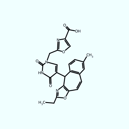 CCc1nc2c(o1)C=Cc1cc(C)ccc1C2c1cn(Cc2nc(C(=O)O)co2)c(=O)[nH]c1=O